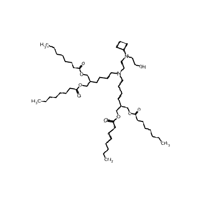 CCCCCCCC(=O)OCC(CCCCN(CCCCC(COC(=O)CCCCCCC)COC(=O)CCCCCCC)CCN(CCO)C1CCC1)COC(=O)CCCCCCC